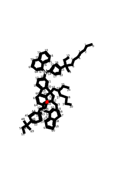 CCCCCCCC(C)(CC)c1ccc(N(c2ccc3c(c2)C(CC(CC)CCCC)(CC(CC)CCCC)c2cc(N(c4ccc(C(C)(C)CC)cc4)c4cccc5ccccc45)ccc2-3)c2cccc3ccccc23)cc1